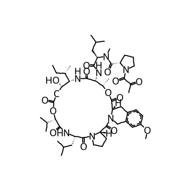 CC[C@H](C)[C@@H]1NC(=O)[C@H](NC(=O)[C@@H](CC(C)C)N(C)C(=O)[C@@H]2CCCN2C(=O)C(C)=O)[C@H](C)OC(=O)[C@@H]2Cc3ccc(OC)cc3CN2C(=O)[C@@H]2CCCN2C(=O)[C@H](CC(C)C)NC(=O)[C@H](C(C)C)OC(=O)C[C@@H]1O